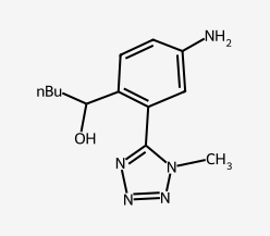 CCCCC(O)c1ccc(N)cc1-c1nnnn1C